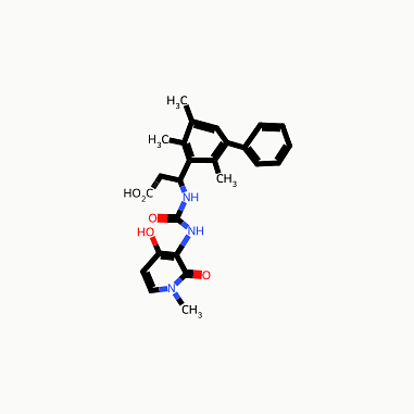 Cc1cc(-c2ccccc2)c(C)c(C(CC(=O)O)NC(=O)Nc2c(O)ccn(C)c2=O)c1C